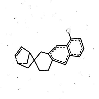 Clc1cccc2cc3c(cc12)CC1(CC3)CC2C=CC1C2